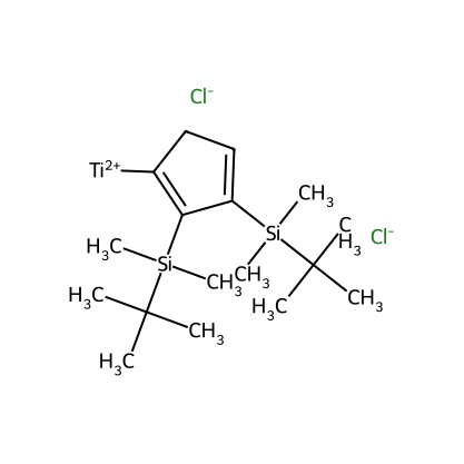 CC(C)(C)[Si](C)(C)C1=CC[C]([Ti+2])=C1[Si](C)(C)C(C)(C)C.[Cl-].[Cl-]